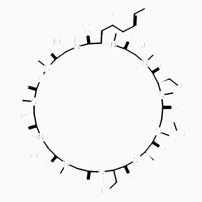 C/C=C/C[C@@H](C)[C@@H](O)[C@H]1C(=O)N[C@@H](CC)C(=O)N(C)CC(=O)N(C)[C@@H](C(C)C)C(=O)N[C@@H](C(C)C)C(=O)N(C)[C@@H](C)C(=O)NC(CC(C)C)C(=O)N[C@H](C)C(=O)N(C)[C@@H](CC(C)C)C(=O)N(C)[C@H](CC(C)C)C(=O)N(C)[C@@H](C(C)C)C(=O)N1C